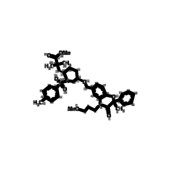 COCCCN1C(=O)C(C)(c2ccccc2)Oc2ccc(CO[C@@H]3CC[C@@H](CC(C)(C)C(=O)OC)N(S(=O)(=O)c4ccc(C)cc4)C3)cc21